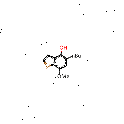 CCCCc1cc(OC)c2sccc2c1O